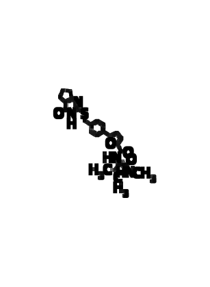 CNC(=O)[C@H](NC(=O)c1ccc(-c2ccc(CSc3nc4c(c(=O)[nH]3)CCC4)cc2)o1)C(C)C